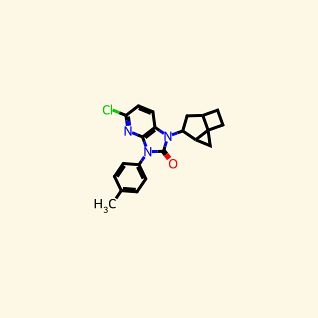 Cc1ccc(-n2c(=O)n(C3CC4CCC45CC35)c3ccc(Cl)nc32)cc1